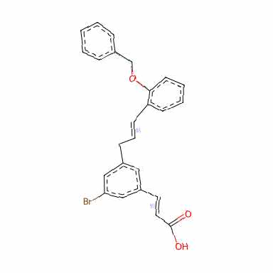 O=C(O)/C=C/c1cc(Br)cc(C/C=C/c2ccccc2OCc2ccccc2)c1